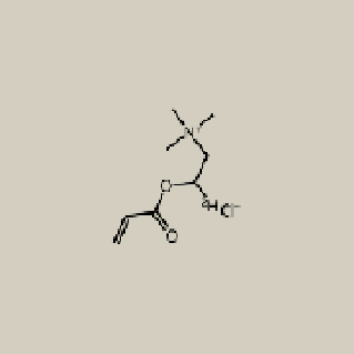 [2H]C(C[N+](C)(C)C)OC(=O)C=C.[Cl-]